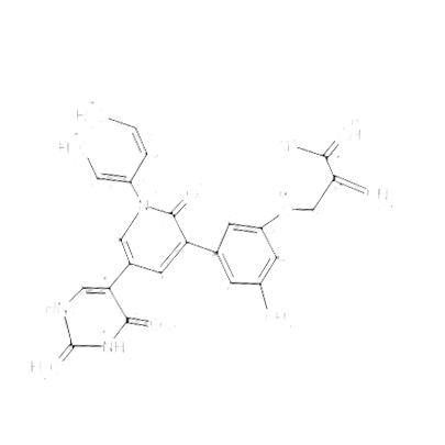 C=C1NC=C(c2cc(-c3cc(C)cc(OCC(=C)C(=C)F)c3)c(=O)n(C(/C=C\C)=C/C)c2)C(=O)N1